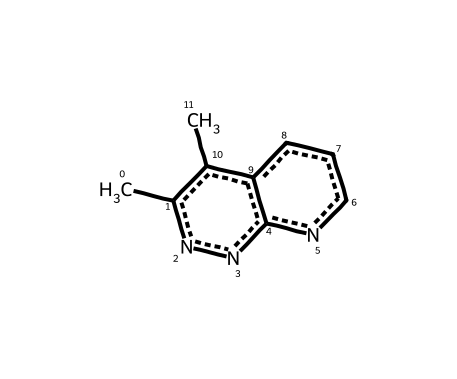 Cc1nnc2ncccc2c1C